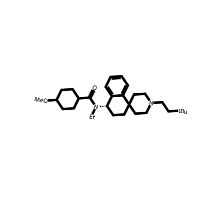 CCN(C(=O)C1CCC(OC)CC1)[C@H]1CCC2(CCN(CCC(C)(C)C)CC2)c2ccccc21